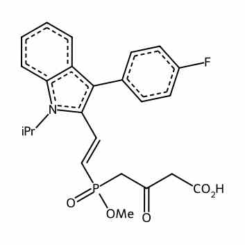 COP(=O)(C=Cc1c(-c2ccc(F)cc2)c2ccccc2n1C(C)C)CC(=O)CC(=O)O